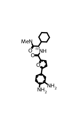 CNC(=O)[C@@H](NC(=O)c1ccc(-c2ccc(N)c(N)c2)o1)C1CCCCC1